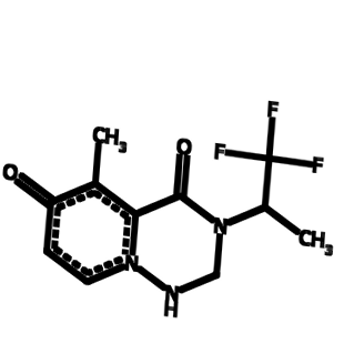 Cc1c2n(ccc1=O)NCN(C(C)C(F)(F)F)C2=O